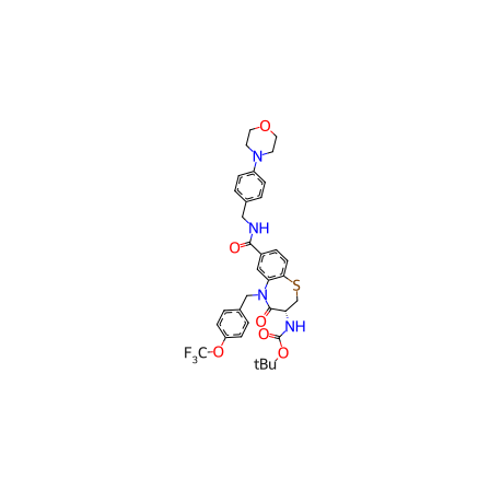 CC(C)(C)OC(=O)N[C@H]1CSc2ccc(C(=O)NCc3ccc(N4CCOCC4)cc3)cc2N(Cc2ccc(OC(F)(F)F)cc2)C1=O